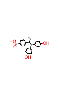 CCC(=C(c1ccc(O)cc1)c1ccc(O)cc1)c1ccc(C(=O)O)cc1